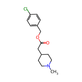 CN1CCC(CC(=O)OCc2ccc(Cl)cc2)CC1